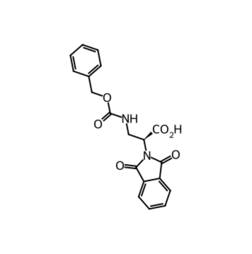 O=C(NC[C@@H](C(=O)O)N1C(=O)c2ccccc2C1=O)OCc1ccccc1